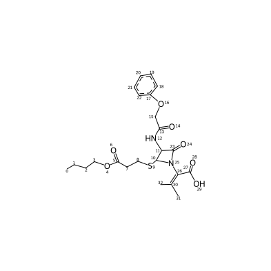 CCCCOC(=O)CCSC1C(NC(=O)COc2ccccc2)C(=O)N1C(C(=O)O)=C(C)C